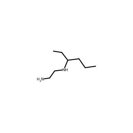 CCCC(CC)NCCN